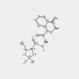 CC(NC(=O)c1c[nH]c(=O)c2ccccc12)C(=O)N1CC(F)(F)C[C@H]1C#N